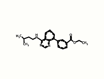 CCOC(=O)c1cccc(-c2cccc3c(NCCC(C)C)ncnc23)c1